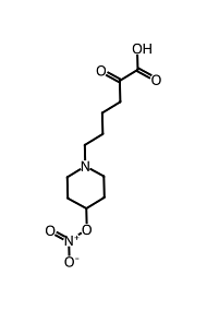 O=C(O)C(=O)CCCCN1CCC(O[N+](=O)[O-])CC1